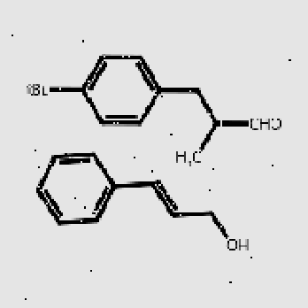 CC(C=O)Cc1ccc(C(C)(C)C)cc1.OC/C=C/c1ccccc1